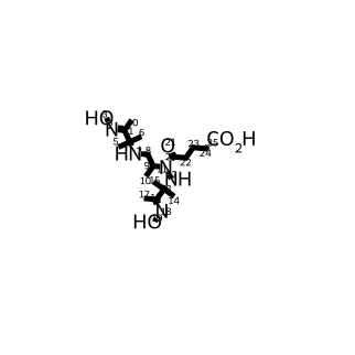 CC(=NO)C(C)(C)NCC(C)N(NC(C)(C)C(C)=NO)C(=O)CCCC(=O)O